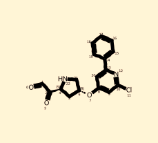 O=CC(=O)[C@@H]1C[C@@H](Oc2cc(Cl)nc(-c3ccccc3)c2)CN1